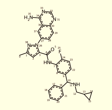 Cc1cc(C(=O)Nc2cc(C(NCC3CC3)c3ccccc3)ccc2F)n(-c2ccc3ncnc(N)c3c2)n1